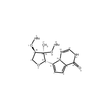 CCCCO[C@@H]1CO[C@@H](c2ccc3c(=O)[nH]cnn23)[C@]1(C)OCCCC